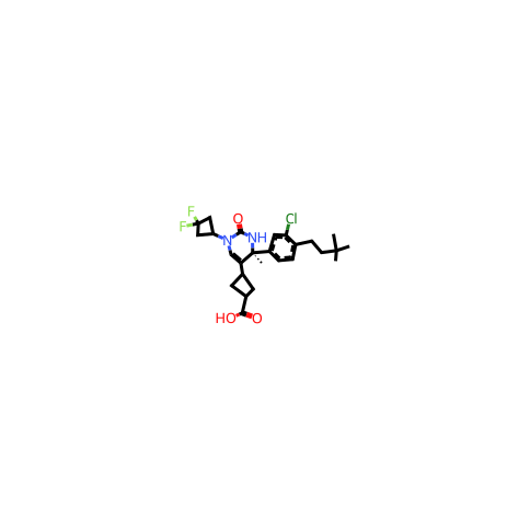 CC(C)(C)CCc1ccc([C@]2(C)NC(=O)N(C3CC(F)(F)C3)C=C2C2CC(C(=O)O)C2)cc1Cl